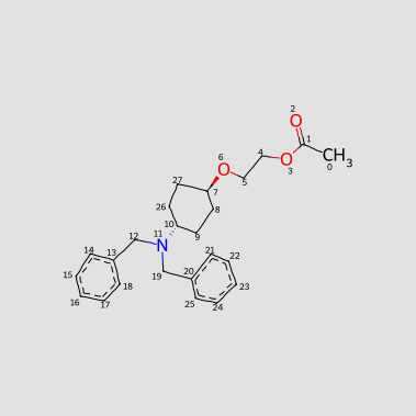 CC(=O)OCCO[C@H]1CC[C@H](N(Cc2ccccc2)Cc2ccccc2)CC1